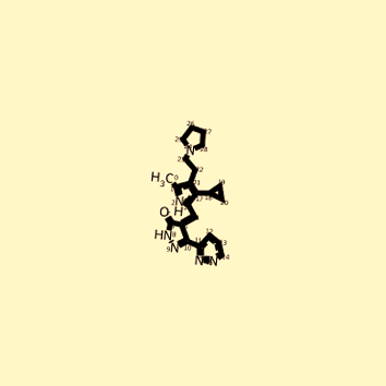 Cc1[nH]c(C=C2C(=O)NN=C2c2cccnn2)c(C2CC2)c1CCN1CCCC1